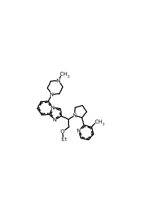 CCOCC(c1cn2c(N3CCN(C)CC3)cccc2n1)N1CCCC1c1ncccc1C